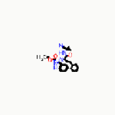 CCOC(=O)N/C(=N/C(CCC1CCCCC1)C(=O)NC1(C#N)CC1)c1ccccc1